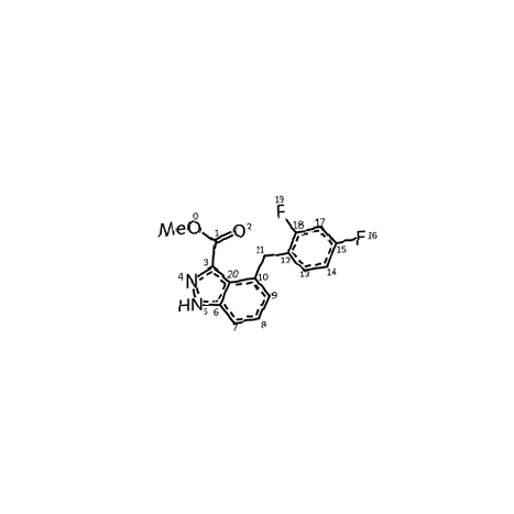 COC(=O)c1n[nH]c2cccc(Cc3ccc(F)cc3F)c12